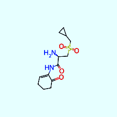 N[C@@H](CS(=O)(=O)CC1CC1)C(=O)NC1=CCCCC1=O